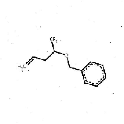 C=C[CH]C(OCc1ccccc1)C(F)(F)F